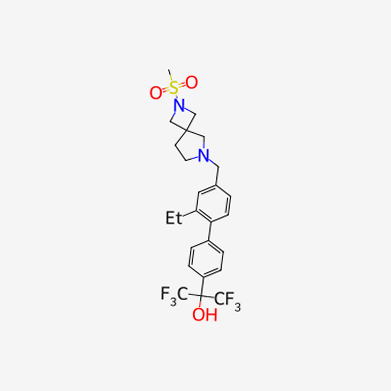 CCc1cc(CN2CCC3(C2)CN(S(C)(=O)=O)C3)ccc1-c1ccc(C(O)(C(F)(F)F)C(F)(F)F)cc1